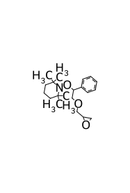 CC1(C)CCCC(C)(C)N1OC(COCC1CO1)c1ccccc1